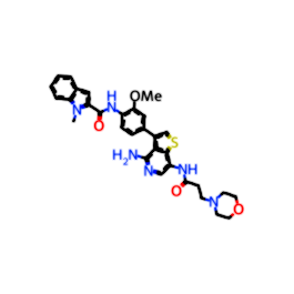 COc1cc(-c2csc3c(NC(=O)CCN4CCOCC4)cnc(N)c23)ccc1NC(=O)c1cc2ccccc2n1C